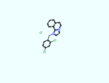 Clc1ccc(Cn2cc[n+]3ccc4ccccc4c23)c(Cl)c1.[Cl-]